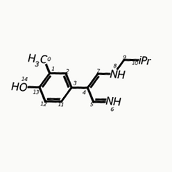 Cc1cc(/C(C=N)=C/NCC(C)C)ccc1O